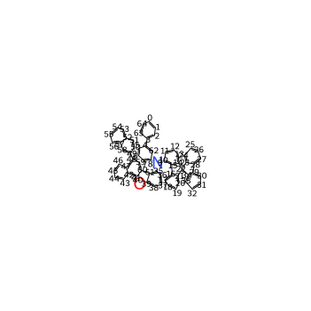 c1ccc(-c2cccc(N(c3cccc4c3-c3ccccc3C43c4ccccc4-c4ccccc43)c3cccc4oc5c6ccccc6c(-c6ccc7ccccc7c6)cc5c34)c2)cc1